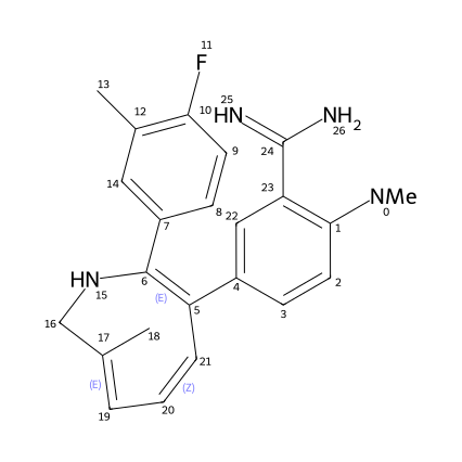 CNc1ccc(C2=C(\c3ccc(F)c(C)c3)NC/C(C)=C/C=C\2)cc1C(=N)N